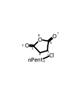 CCCCCCl.O=C1CCC(=O)O1